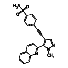 Cn1ncc(C#Cc2ccc(S(N)(=O)=O)cc2)c1-c1ccc2ccccc2n1